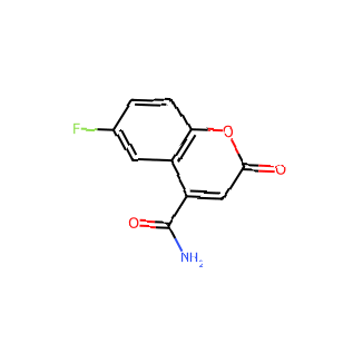 NC(=O)c1cc(=O)oc2ccc(F)cc12